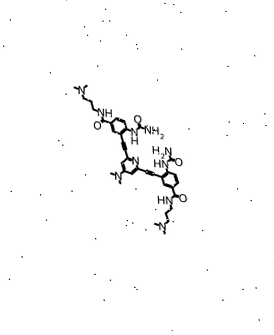 CN(C)CCCNC(=O)c1ccc(NC(N)=O)c(C#Cc2cc(N(C)C)cc(C#Cc3cc(C(=O)NCCCN(C)C)ccc3NC(N)=O)n2)c1